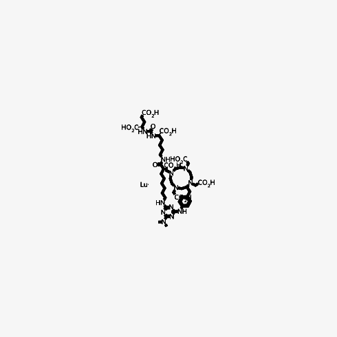 CN(C)c1nc(NCCCCCCCC(=O)NCCCC[C@H](NC(=O)N[C@@H](CCC(=O)O)C(=O)O)C(=O)O)nc(Nc2ccc(CC3CN(CC(=O)O)CCN(CC(=O)O)CCN(CC(=O)O)CCN3CC(=O)O)cc2)n1.[Lu]